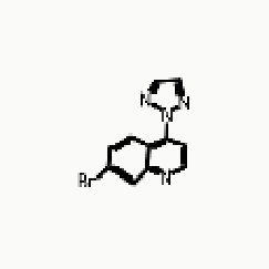 Brc1ccc2c(-n3nccn3)ccnc2c1